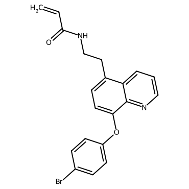 C=CC(=O)NCCc1ccc(Oc2ccc(Br)cc2)c2ncccc12